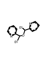 CCC(OC(CC)c1ccccn1)c1ccccn1